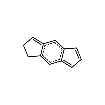 C1=Cc2cc3c(cc2=C1)CCC=3